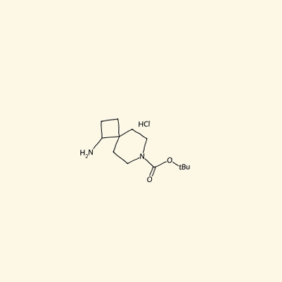 CC(C)(C)OC(=O)N1CCC2(CCC2N)CC1.Cl